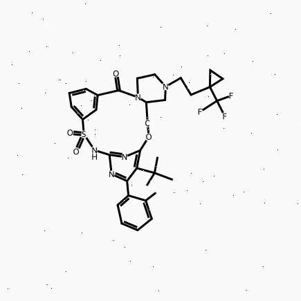 Cc1ccccc1-c1nc2nc(c1C(C)(C)C)OCC1CN(CCC3(C(F)(F)F)CC3)CCN1C(=O)c1cccc(c1)S(=O)(=O)N2